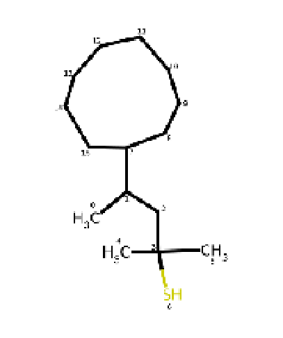 CC(CC(C)(C)S)C1CCCCCCCC1